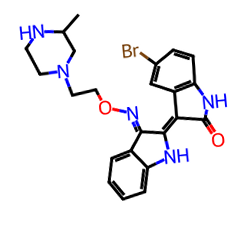 CC1CN(CCO/N=C2/C(=C3/C(=O)Nc4ccc(Br)cc43)Nc3ccccc32)CCN1